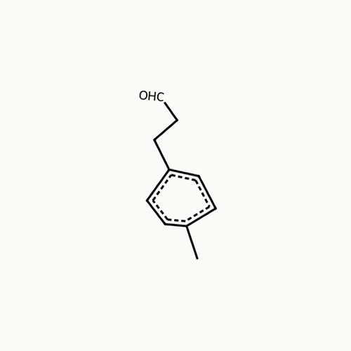 Cc1ccc(CCC=O)cc1